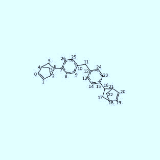 C1=CC2CC1CC2c1ccc(Cc2ccc(C3CC4C=CC3C4)cc2)cc1